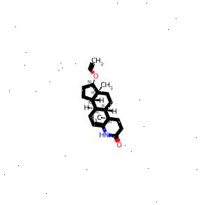 C=CO[C@H]1CC[C@H]2[C@@H]3CC=C4NC(=O)CC[C@]4(C)[C@H]3CC[C@]12C